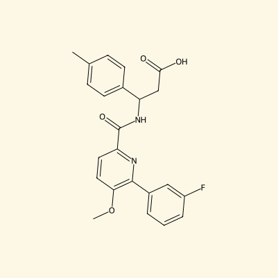 COc1ccc(C(=O)NC(CC(=O)O)c2ccc(C)cc2)nc1-c1cccc(F)c1